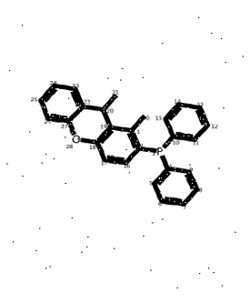 Cc1c(P(c2ccccc2)c2ccccc2)ccc2c1C(C)c1ccccc1O2